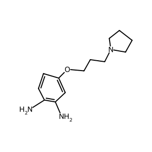 Nc1ccc(OCCCN2CCCC2)cc1N